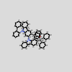 c1ccc(-c2ccccc2-n2c3ccccc3c3cc(-c4ccccc4)c(-n4c5ccccc5c5ccc([Si](c6ccccc6)(c6ccccc6)c6ccccc6)cc54)cc32)cc1